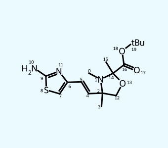 CN1C(C)(C=Cc2csc(N)n2)COC1(C)C(=O)OC(C)(C)C